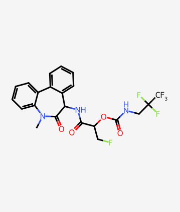 CN1C(=O)C(NC(=O)C(CF)OC(=O)NCC(F)(F)C(F)(F)F)c2ccccc2-c2ccccc21